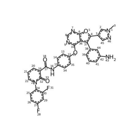 Cn1cc(-c2oc3ncnc(Oc4ccc(NC(=O)c5cccn(-c6ccc(F)cc6F)c5=O)cc4)c3c2-c2cccc(N)c2)cn1